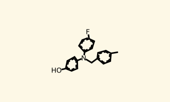 Cc1ccc(CN(c2ccc(O)cc2)c2ccc(F)cc2)cc1